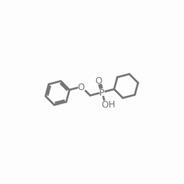 O=P(O)(COc1ccccc1)C1CCCCC1